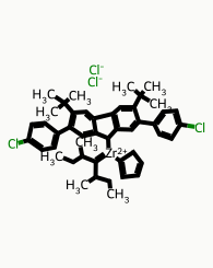 CCC(C)[C](C(C)CC)=[Zr+2]([C]1=CC=CC1)[CH]1c2cc(-c3ccc(Cl)cc3)c(C(C)(C)C)cc2-c2cc(C(C)(C)C)c(-c3ccc(Cl)cc3)cc21.[Cl-].[Cl-]